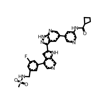 CS(=O)(=O)NCc1cc(F)cc(-c2cncc3[nH]c(-c4n[nH]c5ncc(-c6cncc(NC(=O)C7CCC7)c6)cc45)cc23)c1